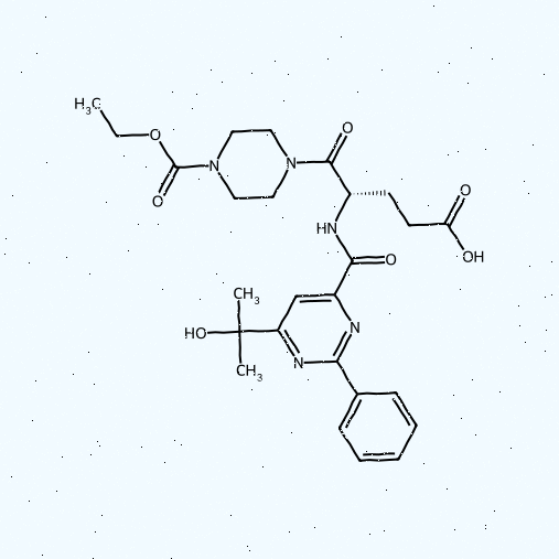 CCOC(=O)N1CCN(C(=O)[C@H](CCC(=O)O)NC(=O)c2cc(C(C)(C)O)nc(-c3ccccc3)n2)CC1